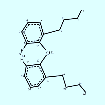 CCCCc1cccc(F)c1Oc1c(F)cccc1CCCC